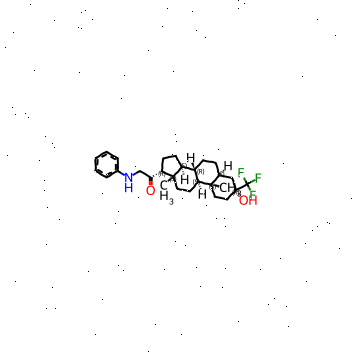 C[C@]12CC[C@](O)(C(F)(F)F)C[C@@H]1CC[C@@H]1[C@@H]2CC[C@]2(C)[C@H](C(=O)CNc3ccccc3)CC[C@@H]12